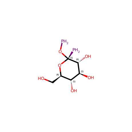 OC[C@H]1O[C@](P)(OP)[C@H](O)[C@@H](O)[C@@H]1O